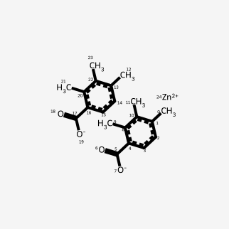 Cc1ccc(C(=O)[O-])c(C)c1C.Cc1ccc(C(=O)[O-])c(C)c1C.[Zn+2]